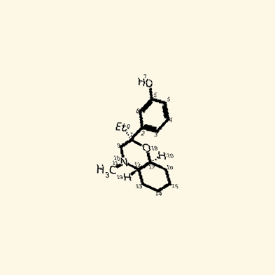 CC[C@@]1(c2cccc(O)c2)CN(C)[C@H]2CCCC[C@@H]2O1